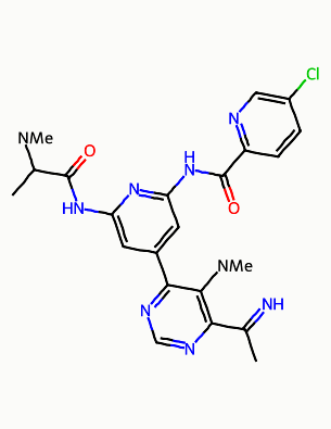 CNc1c(C(C)=N)ncnc1-c1cc(NC(=O)c2ccc(Cl)cn2)nc(NC(=O)C(C)NC)c1